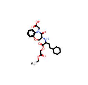 CCOC(=O)COC(=O)C(CCC1CCCCC1)N[C@H]1COc2ccccc2N(CC(=O)O)C1=O